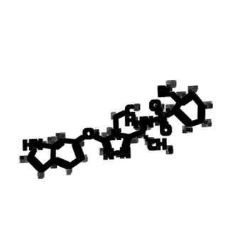 CCn1c(Oc2ccc3cc[nH]c3c2)nnc1[C@@H](C)NS(=O)(=O)c1ccccc1Br